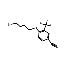 N#Cc1ccc(OCCCCBr)c(C(F)(F)F)c1